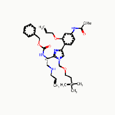 C=CCNC[C@H](NC(=O)OCc1ccccc1)c1nc(-c2ccc(NC(=O)OC)cc2OCC=C)cn1COCC[Si](C)(C)C